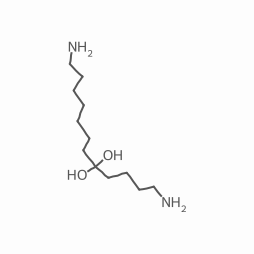 NCCCCCCCC(O)(O)CCCCN